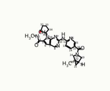 CN(C)C(=O)c1cc2cnc(Nc3ccc(C(=O)N4C[C@H]5C[C@@]5(C)C4)cn3)nc2n1C1CCCC1